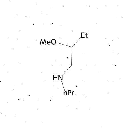 CCCNCC(CC)OC